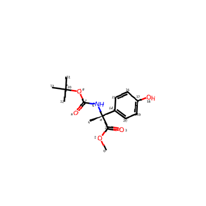 COC(=O)[C@](C)(NC(=O)OC(C)(C)C)c1ccc(O)cc1